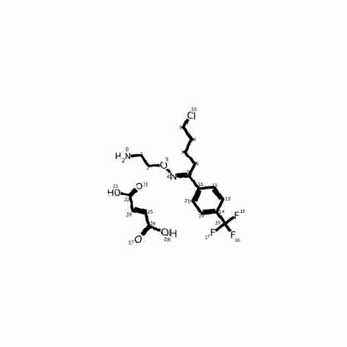 NCCON=C(CCCCCl)c1ccc(C(F)(F)F)cc1.O=C(O)C=CC(=O)O